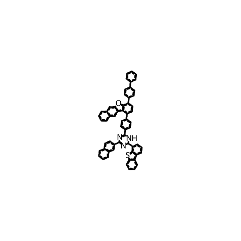 c1ccc(-c2ccc(-c3ccc(-c4ccc(C5=NC(c6ccc7ccccc7c6)=NC(c6cccc7c6sc6ccccc67)N5)cc4)c4c3oc3cc5ccccc5cc34)cc2)cc1